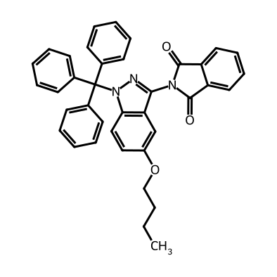 CCCCOc1ccc2c(c1)c(N1C(=O)c3ccccc3C1=O)nn2C(c1ccccc1)(c1ccccc1)c1ccccc1